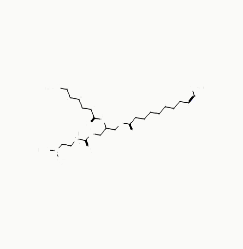 CCCCCCCC/C=C\CCCCCCCC(=O)OCC(COC(=O)NCCN(C)C)OC(=O)CCCCCCCCCCCCCCC